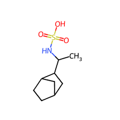 CC(NS(=O)(=O)O)C1CC2CCC1C2